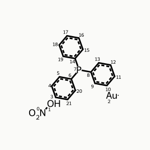 O=[N+]([O-])O.[Au].c1ccc(P(c2ccccc2)c2ccccc2)cc1